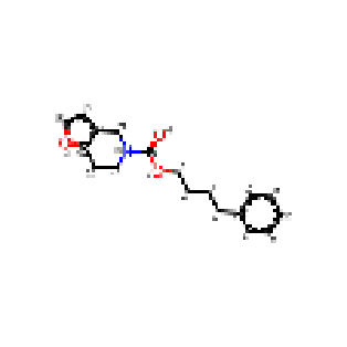 O=C(OCCCCc1ccccc1)N1CCc2occc2C1